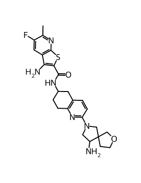 Cc1nc2sc(C(=O)NC3CCc4nc(N5CC(N)C6(CCOC6)C5)ccc4C3)c(N)c2cc1F